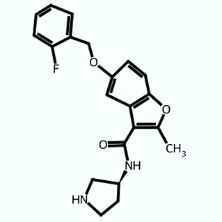 Cc1oc2ccc(OCc3ccccc3F)cc2c1C(=O)N[C@H]1CCNC1